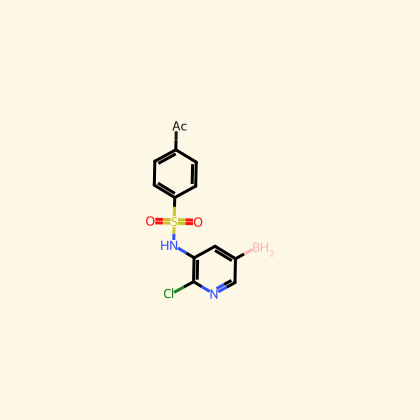 Bc1cnc(Cl)c(NS(=O)(=O)c2ccc(C(C)=O)cc2)c1